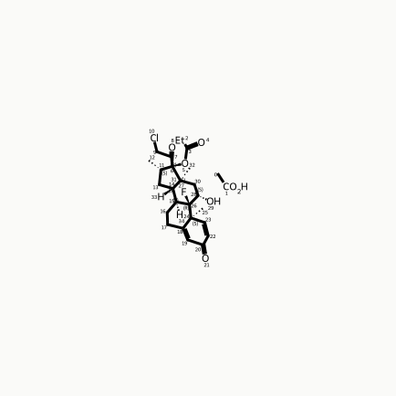 CC(=O)O.CCC(=O)O[C@]1(C(=O)CCl)[C@@H](C)C[C@H]2[C@@H]3CCC4=CC(=O)C=C[C@]4(C)[C@@]3(F)[C@@H](O)C[C@@]21C